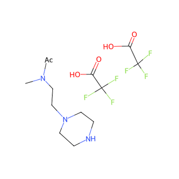 CC(=O)N(C)CCN1CCNCC1.O=C(O)C(F)(F)F.O=C(O)C(F)(F)F